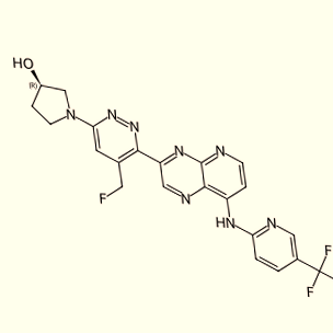 O[C@@H]1CCN(c2cc(CF)c(-c3cnc4c(Nc5ccc(C(F)(F)F)cn5)ccnc4n3)nn2)C1